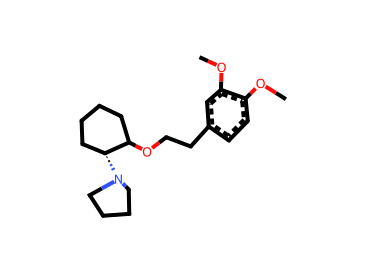 COc1ccc(CCOC2CCCC[C@H]2N2CCCC2)cc1OC